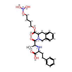 CC(NC(CCc1ccccc1)C(=O)O)C(=O)N1Cc2ccccc2CC1C(=O)OCCCCON(O)O